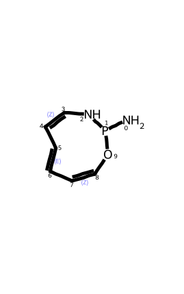 NP1N\C=C/C=C/C=C\O1